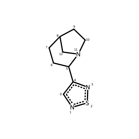 c1nsnc1C1CCC2CCN1C2